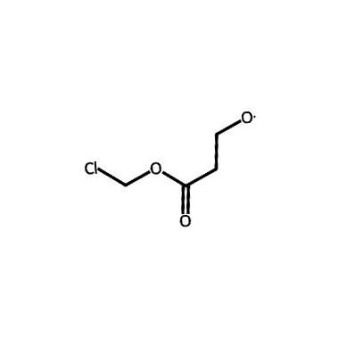 [O]CCC(=O)OCCl